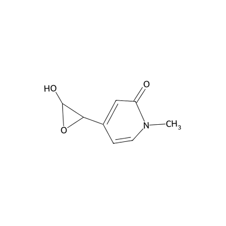 Cn1ccc(C2OC2O)cc1=O